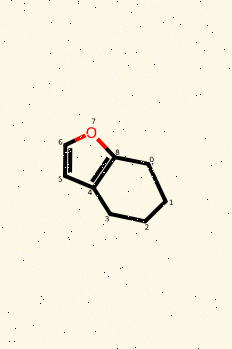 [CH]1CCCc2ccoc21